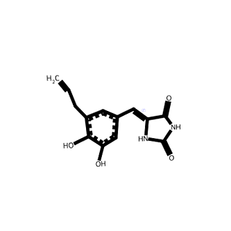 C=CCc1cc(/C=C2\NC(=O)NC2=O)cc(O)c1O